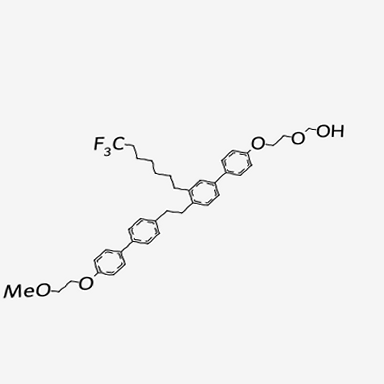 COCCOc1ccc(-c2ccc(CCc3ccc(-c4ccc(OCCOCO)cc4)cc3CCCCCCC(F)(F)F)cc2)cc1